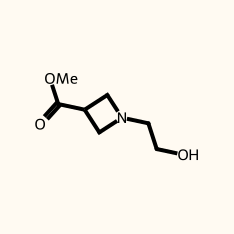 COC(=O)C1CN(CCO)C1